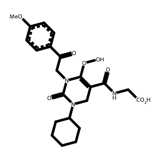 COc1ccc(C(=O)CN2C(=O)N(C3CCCCC3)CC(C(=O)NCC(=O)O)=C2OO)cc1